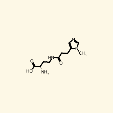 Cn1cncc1CCC(=O)NCC[C@H](N)C(=O)O